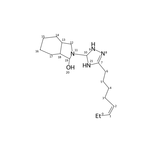 CC/C=C\CCCCC1=NNC(N2CC3CCCCC3C2O)N1